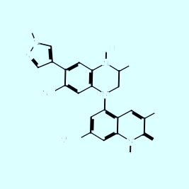 COc1cc(N2CC(C)N(C)c3cc(-c4cnn(C)c4)c(C#N)cc32)c2cc(C)c(=O)n(C)c2c1